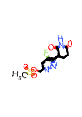 CS(=O)(=O)OCc1cc(F)c(C2CCC(=O)NC2=O)nn1